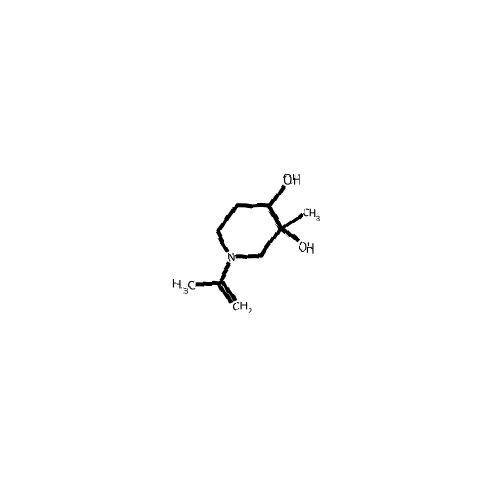 C=C(C)N1CCC(O)C(C)(O)C1